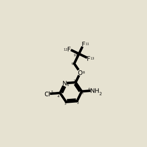 Nc1ccc(Cl)nc1OCC(F)(F)F